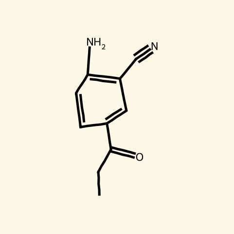 CCC(=O)c1ccc(N)c(C#N)c1